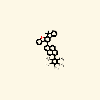 Bc1c(B)c(B)c(-c2ccc3ccc4c(-c5cc6c(c7oc8ccccc8c57)C(C)(C)c5ccccc5-6)ccc5ccc2c3c54)c(B)c1B